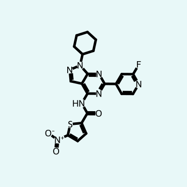 O=C(Nc1nc(-c2ccnc(F)c2)nc2c1cnn2C1CCCCC1)c1ccc([N+](=O)[O-])s1